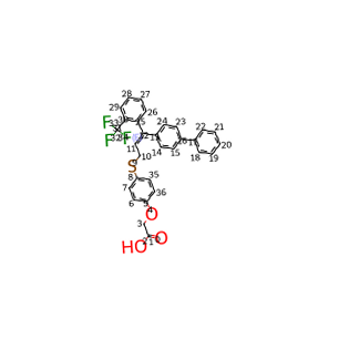 O=C(O)COc1ccc(SC/C=C(\c2ccc(-c3ccccc3)cc2)c2ccccc2C(F)(F)F)cc1